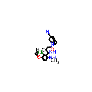 CNc1ccc(OC2CC2)c(Cl)c1C(=N)C(C)CC(=O)N1C2CC3CC1CC(C#N)(C3)C2